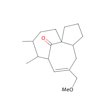 COCC1=CC2C(=O)C3(CCCC3C1)CCC(C)C2C